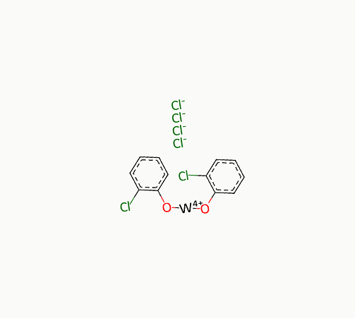 Clc1ccccc1[O][W+4][O]c1ccccc1Cl.[Cl-].[Cl-].[Cl-].[Cl-]